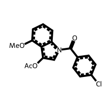 COc1cccc2c1c(OC(C)=O)cn2C(=O)c1ccc(Cl)cc1